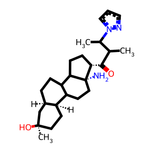 CC(C(=O)[C@H]1CCC2C3CC[C@@H]4C[C@](C)(O)CC[C@@H]4C3CC[C@@]21N)C(C)n1cccn1